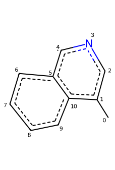 Cc1cn[c]c2ccccc12